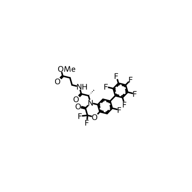 COC(=O)CCNC(=O)[C@H](C)N1C(=O)C(F)(F)Oc2cc(F)c(-c3c(F)c(F)c(F)c(F)c3F)cc21